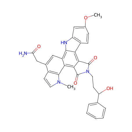 COc1ccc2c(c1)[nH]c1c3cc(CC(N)=O)c4ccn(C)c4c3c3c(c21)C(=O)N(CCC(O)c1ccccc1)C3=O